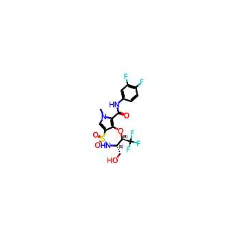 Cn1cc2c(c1C(=O)Nc1ccc(F)c(F)c1)O[C@@H](C(F)(F)F)[C@H](CO)NS2(=O)=O